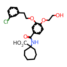 O=C(NC1(C(=O)O)CCCCCC1)c1ccc(OCCO)c(OCCc2cccc(Cl)c2)c1